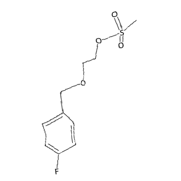 CS(=O)(=O)OCCOCc1ccc(F)cc1